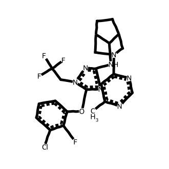 Cc1cc(N2CC3CCC(C2)C3Nc2nc(Oc3cccc(Cl)c3F)n(CC(F)(F)F)n2)ncn1